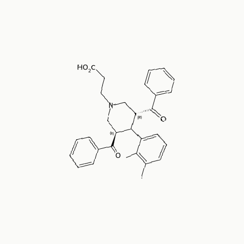 Cc1cccc(C2[C@@H](C(=O)c3ccccc3)CN(CCC(=O)O)C[C@@H]2C(=O)c2ccccc2)c1C